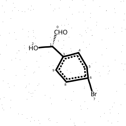 O=C[C@@H](O)c1ccc(Br)cc1